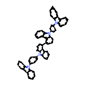 c1ccc2c(c1)c1ccccc1n2-c1ccc(-n2c3ccccc3c3c(-c4cccc5c4c4ccccc4n5-c4ccc(-n5c6ccccc6c6ccccc65)cc4)cccc32)cc1